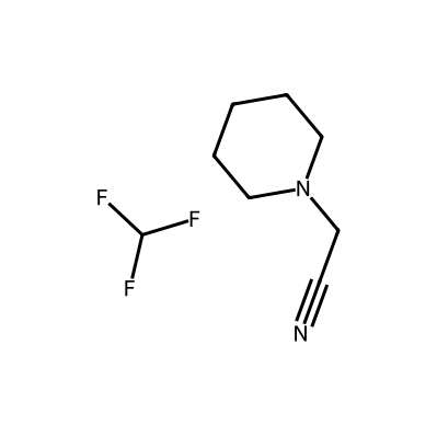 FC(F)F.N#CCN1CCCCC1